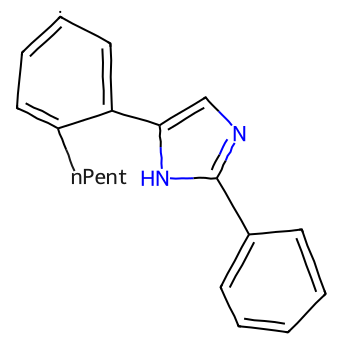 CCCCCc1cc[c]cc1-c1cnc(-c2ccccc2)[nH]1